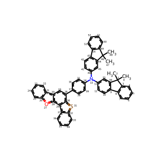 CC1(C)c2ccccc2-c2ccc(N(c3ccc(-c4cc5c6ccccc6oc5c5c4sc4ccccc45)cc3)c3ccc4c(c3)C(C)(C)c3ccccc3-4)cc21